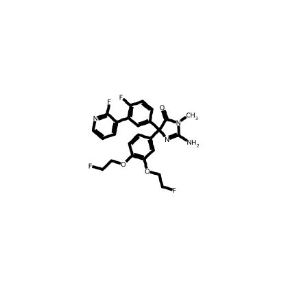 CN1C(=O)C(c2ccc(OCCF)c(OCCF)c2)(c2ccc(F)c(-c3cccnc3F)c2)N=C1N